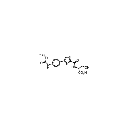 CC(C)(C)OC(=O)Nc1ccc(-c2csc(C(=O)NC(CO)C(=O)O)n2)cc1